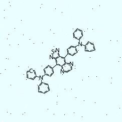 c1ccc(N(c2ccccc2)c2ccc(-c3c4nccnc4c(-c4ccc(N(c5ccccc5)c5ccccc5)cc4)c4nsnc34)cc2)cc1